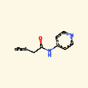 CCCCCCC(=O)Nc1ccncc1